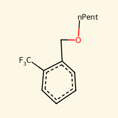 CCCCCOCc1ccccc1C(F)(F)F